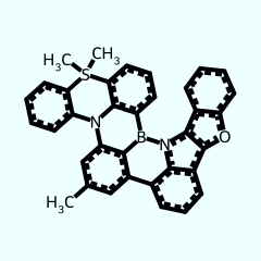 Cc1cc2c3c(c1)N1c4ccccc4S(C)(C)c4cccc(c41)B3n1c3c-2cccc3c2oc3ccccc3c21